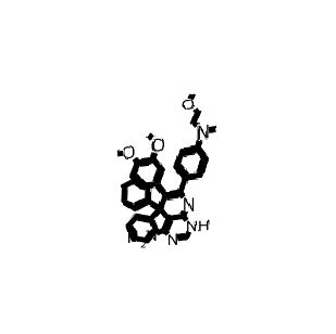 COCCN(C)c1ccc(C2=C(c3ccc(OC)c(OC)c3)C(c3ccccc3)(c3ccccc3)C3=C(N)N=CNC3=N2)cc1